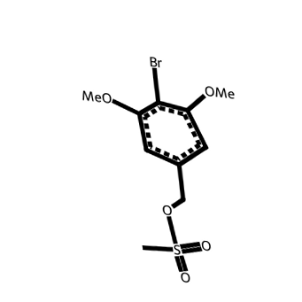 COc1cc(COS(C)(=O)=O)cc(OC)c1Br